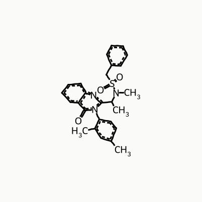 Cc1ccc(-n2c(C(C)N(C)S(=O)(=O)Cc3ccccc3)nc3ccccc3c2=O)c(C)c1